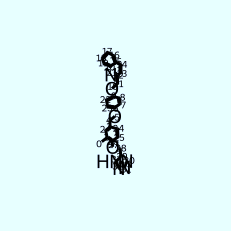 Cc1cc(COc2ccc(OCc3ccc4ccccc4n3)cc2)ccc1OCc1nnn[nH]1